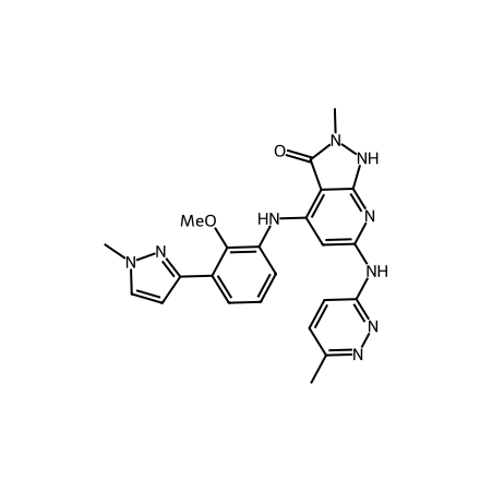 COc1c(Nc2cc(Nc3ccc(C)nn3)nc3[nH]n(C)c(=O)c23)cccc1-c1ccn(C)n1